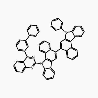 c1ccc(-c2cccc(-c3nc(-n4c5ccccc5c5cc(-c6cc7c(c8ccccc68)c6ccccc6n7-c6ccccc6)c6ccccc6c54)nc4ccccc34)c2)cc1